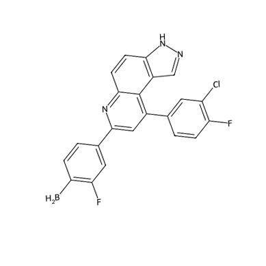 Bc1ccc(-c2cc(-c3ccc(F)c(Cl)c3)c3c(ccc4[nH]ncc43)n2)cc1F